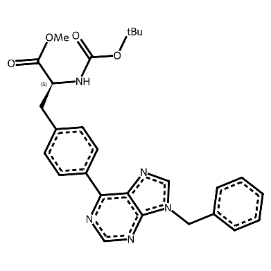 COC(=O)[C@H](Cc1ccc(-c2ncnc3c2ncn3Cc2ccccc2)cc1)NC(=O)OC(C)(C)C